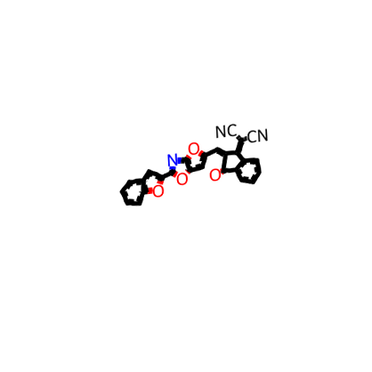 N#CC(C#N)=C1/C(=C/c2cc3oc(-c4cc5ccccc5o4)nc3o2)C(=O)c2ccccc21